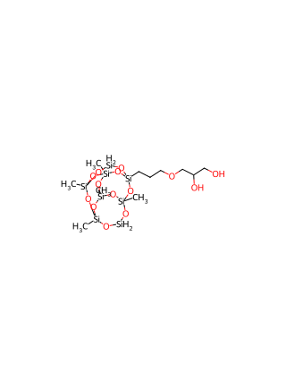 C[Si]12O[SiH2]O[Si]3(C)O[Si](C)(O1)O[Si]1(C)O[Si](C)(O[SiH2]O[Si](CCCOCC(O)CO)(O3)O1)O2